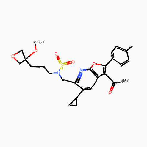 CNC(=O)c1c(-c2ccc(C)cc2)oc2nc(CN(CCCC3(OC(=O)O)COC3)[SH](=O)=O)c(C3CC3)cc12